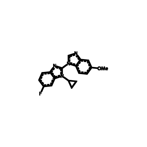 COc1ccc2c(c1)ncn2-c1nc2ccc(F)cc2n1C1CC1